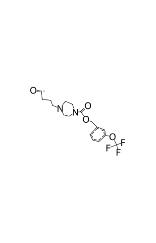 O=[C]CCCN1CCN(C(=O)OCc2cccc(OC(F)(F)F)c2)CC1